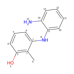 Cc1c(O)cccc1Nc1ccccc1N